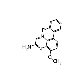 COc1ccc(-c2ccccc2F)c2ncc(N)nc12